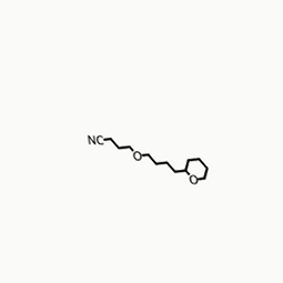 N#CCCCOCCCCC1CCCCO1